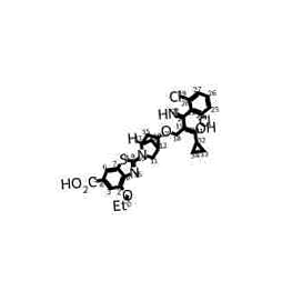 CCOc1cc(C(=O)O)cc2sc(N3CC4C[C@H]3C[C@H]4OC/C(C(=N)c3c(Cl)cccc3Cl)=C(/O)C3CC3)nc12